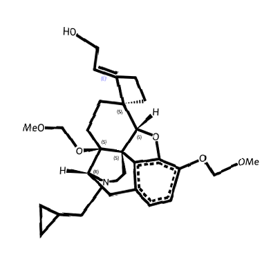 COCOc1ccc2c3c1O[C@H]1[C@@]4(CC/C4=C\CO)CC[C@@]4(OCOC)[C@@H](C2)N(CC2CC2)CC[C@]314